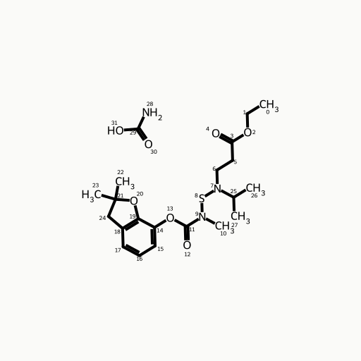 CCOC(=O)CCN(SN(C)C(=O)Oc1cccc2c1OC(C)(C)C2)C(C)C.NC(=O)O